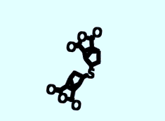 O=C1OC(=O)C2C3CC(CC3SC3CC4CC3C3C(=O)OC(=O)C43)C12